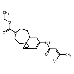 CCOC(=O)N1CCC2=CC(NC(=O)C=C(C)C)=CC3=CC32CC1